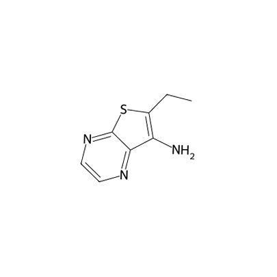 CCc1sc2nccnc2c1N